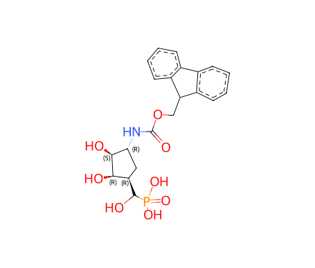 O=C(N[C@@H]1C[C@@H](C(O)P(=O)(O)O)[C@@H](O)[C@H]1O)OCC1c2ccccc2-c2ccccc21